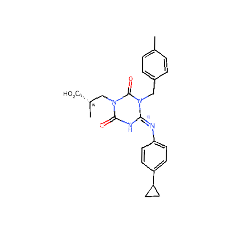 Cc1ccc(Cn2c(=O)n(C[C@H](C)C(=O)O)c(=O)[nH]/c2=N\c2ccc(C3CC3)cc2)cc1